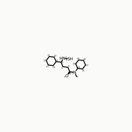 CN(C(=O)CCC(NS)C1CCCCC1)C1CCCCC1